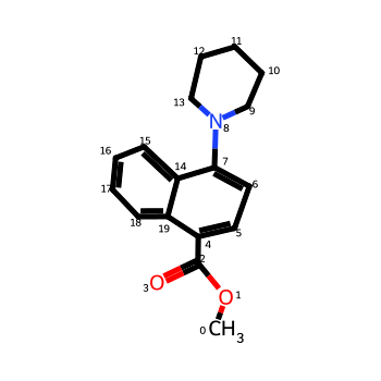 COC(=O)c1ccc(N2CCCCC2)c2ccccc12